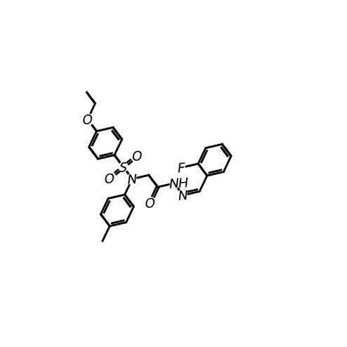 CCOc1ccc(S(=O)(=O)N(CC(=O)N/N=C\c2ccccc2F)c2ccc(C)cc2)cc1